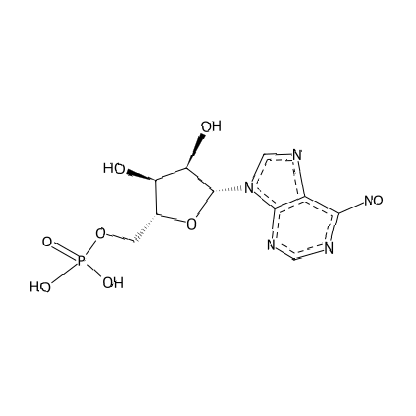 O=Nc1ncnc2c1ncn2[C@@H]1O[C@H](COP(=O)(O)O)[C@@H](O)[C@H]1O